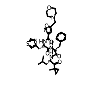 CC(C)C[C@H](NC(=O)[C@H](Cc1ccccc1)NC(=O)[C@H](Cc1cscn1)NC(=O)c1cc(CN2CCOCC2)on1)C(=O)C1(C)CC1